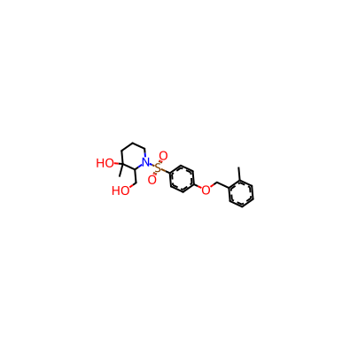 Cc1ccccc1COc1ccc(S(=O)(=O)N2CCCC(C)(O)C2CO)cc1